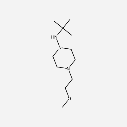 COCCN1CCN(NC(C)(C)C)CC1